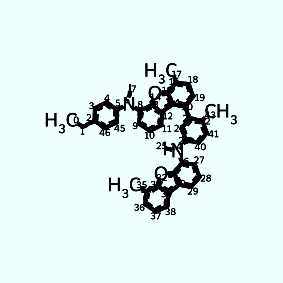 CCc1ccc(N(I)c2cccc3c2oc2c(C)ccc(-c4cc(N(I)c5cccc6c5oc5c(C)cccc56)ccc4C)c23)cc1